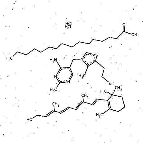 CC1=C(/C=C/C(C)=C/C=C/C(C)=C/CO)C(C)(C)CCC1.CCCCCCCCCCCCCCCC(=O)O.Cc1ncc(C[n+]2csc(CCO)c2C)c(N)n1.Cl.Cl